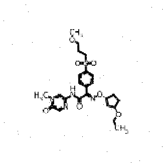 CCO[C@@H]1CC[C@@H](O/N=C(/C(=O)Nc2cn(C)c(=O)cn2)c2ccc(S(=O)(=O)CCCOC)cc2)C1